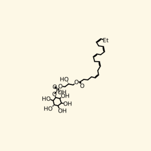 CC/C=C\C/C=C\C/C=C\C/C=C\C/C=C\CCCC(=O)OC[C@@H](O)COP(=O)(O)OC1C(O)C(O)C(O)[C@@H](O)C1O